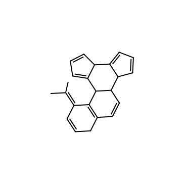 CC(C)=C1C=CCC2=C1C1C3=CC=CC3C3=CC=CC3C1C=C2